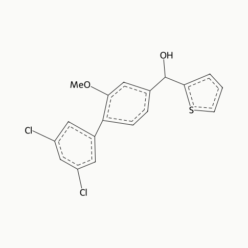 COc1cc(C(O)c2cccs2)ccc1-c1cc(Cl)cc(Cl)c1